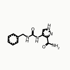 NC(=O)c1n[nH]cc1NC(=O)NCc1ccccc1